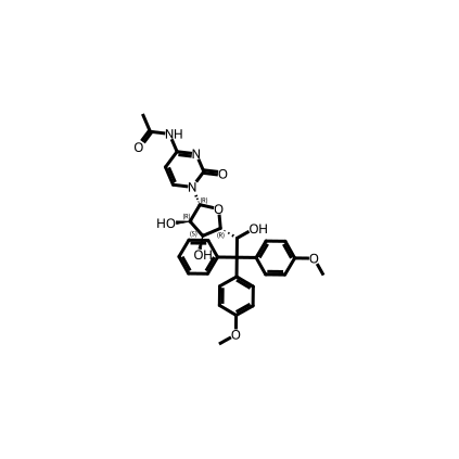 COc1ccc(C(c2ccccc2)(c2ccc(OC)cc2)C(O)[C@H]2O[C@@H](n3ccc(NC(C)=O)nc3=O)[C@H](O)[C@@H]2O)cc1